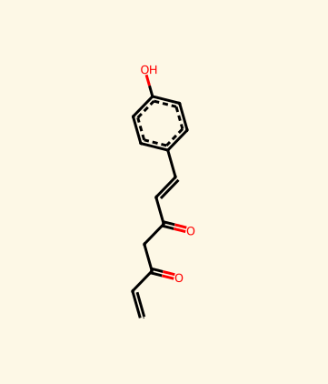 [CH]=CC(=O)CC(=O)C=Cc1ccc(O)cc1